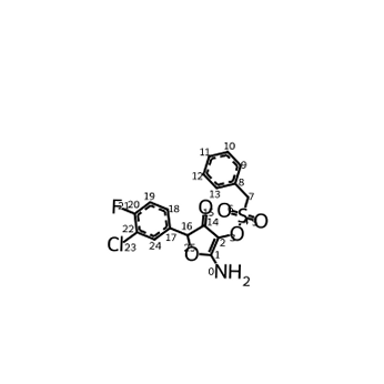 NC1=C(OS(=O)(=O)Cc2ccccc2)C(=O)C(c2ccc(F)c(Cl)c2)O1